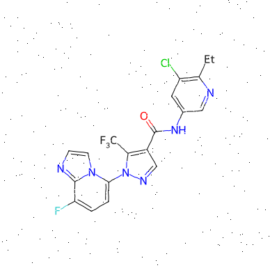 CCc1ncc(NC(=O)c2cnn(-c3ccc(F)c4nccn34)c2C(F)(F)F)cc1Cl